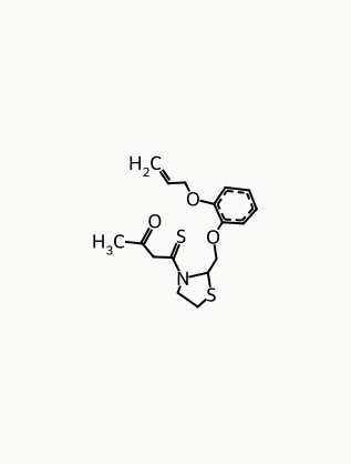 C=CCOc1ccccc1OCC1SCCN1C(=S)CC(C)=O